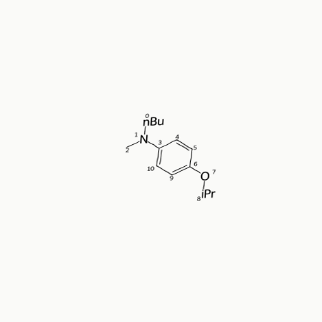 CCCCN(C)c1ccc(OC(C)C)cc1